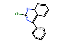 ClC1=NC(c2ccccc2)=C2C=CC=CC2N1